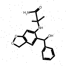 CC(C)(Nc1cc2c(cc1C(O)c1ccccc1)COO2)C(N)=O